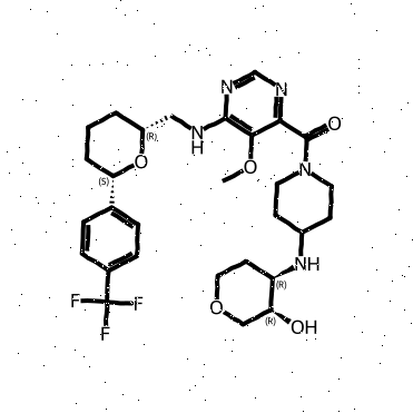 COc1c(NC[C@H]2CCC[C@@H](c3ccc(C(F)(F)F)cc3)O2)ncnc1C(=O)N1CCC(N[C@@H]2CCOC[C@@H]2O)CC1